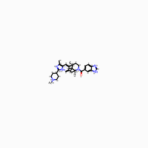 C=C1C[C@H]2N(C(=O)c3ccc4nc[nH]c4c3)CC[C@@](C)(/C1=C/c1[nH]c(C3CCN(C(C)=O)CC3)nc1C)C2(C)C